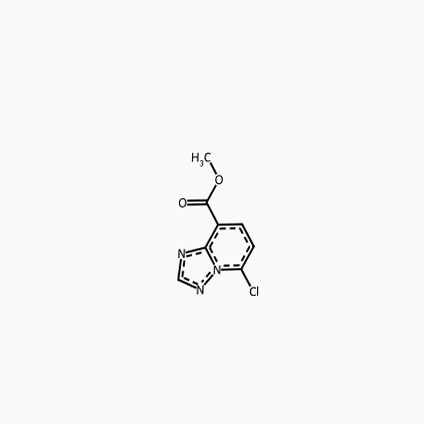 COC(=O)c1ccc(Cl)n2ncnc12